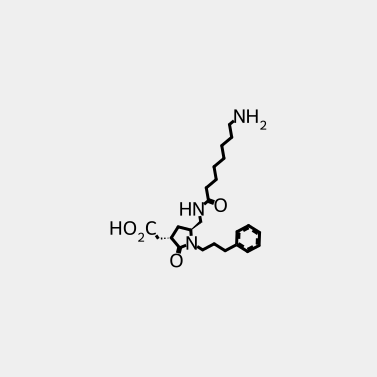 NCCCCCCCC(=O)NC[C@@H]1C[C@@H](CC(=O)O)C(=O)N1CCCc1ccccc1